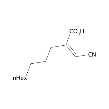 CCCCCCCCCC(=CC#N)C(=O)O